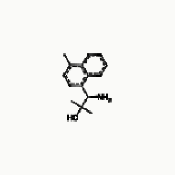 Cc1ccc([C@@H](N)C(C)(C)O)c2ccccc12